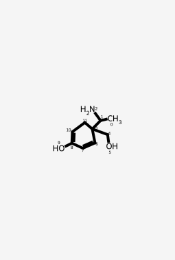 CC(N)C1(CO)C=CC(O)=CC1